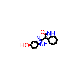 O=c1[nH]c2cccccc-2c1-c1nc2cc(O)ccc2[nH]1